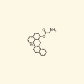 NCC(=O)Oc1ccc2ccccc2c1Cc1c(O)ccc2ccccc12